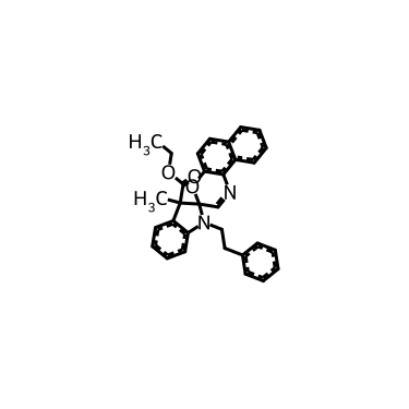 CCOC(=O)C1(C)c2ccccc2N(CCc2ccccc2)C12C=Nc1c(ccc3ccccc13)O2